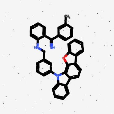 Cc1cccc(C(=N)c2ccccc2NCc2cccc(-n3c4ccccc4c4ccc5c6ccccc6oc5c43)c2)c1